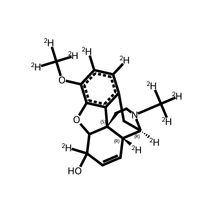 [2H]c1c([2H])c(OC([2H])([2H])[2H])c2c3c1C[C@@]1([2H])N(C([2H])([2H])[2H])CC[C@@]34C(O2)C([2H])(O)C=C[C@]41[2H]